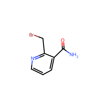 NC(=O)c1cccnc1CBr